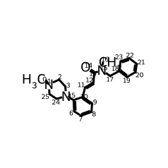 CN1CCN(c2ccccc2/C=C/C(=O)N(C)Cc2ccccc2)CC1